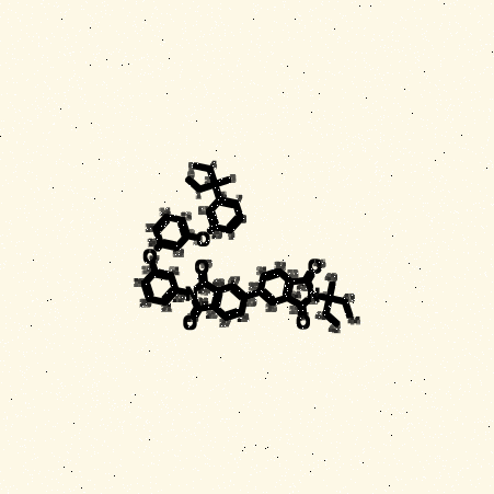 CCC(C)(CC)c1cccc(Oc2cccc(Oc3cccc(N4C(=O)c5ccc(-c6ccc7c(c6)C(=O)N(C(C)(CC)CC)C7=O)cc5C4=O)c3)c2)c1